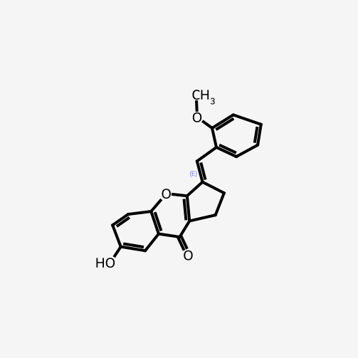 COc1ccccc1/C=C1\CCc2c1oc1ccc(O)cc1c2=O